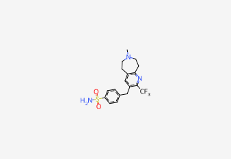 CN1CCc2cc(Cc3ccc(S(N)(=O)=O)cc3)c(C(F)(F)F)nc2CC1